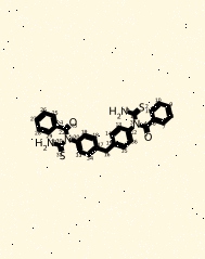 NC(=S)N(C(=O)c1ccccc1)c1ccc(Cc2ccc(N(C(=O)c3ccccc3)C(N)=S)cc2)cc1